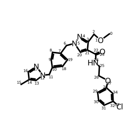 COCc1nn(Cc2ccc(Cn3cc(C)cn3)cc2)cc1C(=O)NCCOc1cccc(Cl)c1